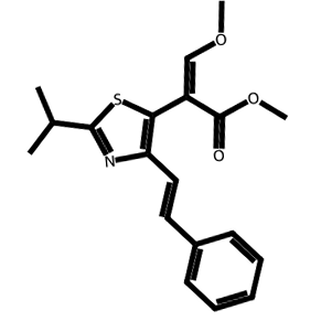 COC=C(C(=O)OC)c1sc(C(C)C)nc1C=Cc1ccccc1